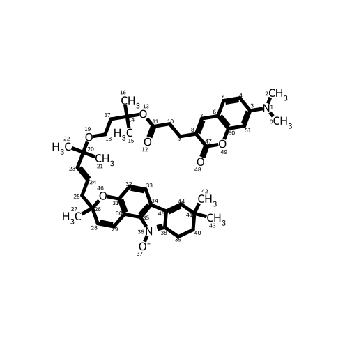 CN(C)c1ccc2cc(CCC(=O)OC(C)(C)CCOC(C)(C)/C=C/CC3(C)C=Cc4c(ccc5c4[N+]([O-])=C4CCC(C)(C)C=C45)O3)c(=O)oc2c1